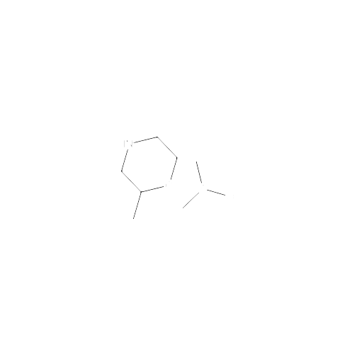 CC1CNCCO1.C[S+](C)[O-]